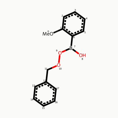 COc1ccccc1B(O)OOCc1ccccc1